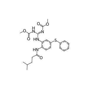 COC(=O)N=C(NC(=O)OC)Nc1cc(Sc2ccccc2)ccc1NC(=O)CCC(C)C